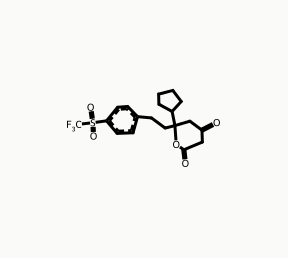 O=C1CC(=O)OC(CCc2ccc(S(=O)(=O)C(F)(F)F)cc2)(C2CCCC2)C1